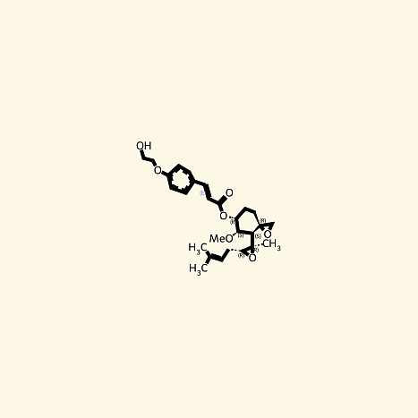 CO[C@@H]1[C@H](OC(=O)/C=C/c2ccc(OCCO)cc2)CC[C@]2(CO2)[C@H]1[C@@]1(C)O[C@@H]1CC=C(C)C